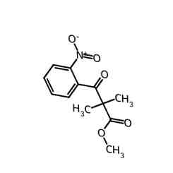 COC(=O)C(C)(C)C(=O)c1ccccc1[N+](=O)[O-]